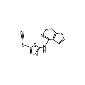 N#CSc1cnc(Nc2nccc3sccc23)s1